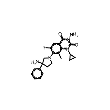 Cc1c(N2CCC(N)(c3ccccc3)C2)c(F)cc2c(=O)n(N)c(=O)n(C3CC3)c12